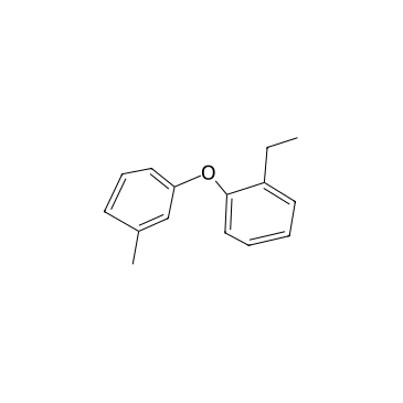 CCc1ccccc1Oc1cccc(C)c1